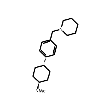 CN[C@H]1CC[C@H](c2ccc(CN3CCCCC3)cc2)CC1